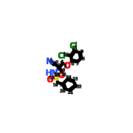 CC(C#N)(COc1cccc(Cl)c1Cl)NS(=O)(=O)Cc1ccccc1